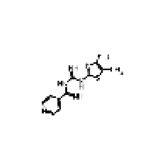 Cc1nc(NC(=N)NC(=N)c2ccncc2)sc1C